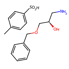 Cc1ccc(S(=O)(=O)O)cc1.NC[C@@H](O)COCc1ccccc1